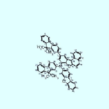 CC1(C)c2ccccc2-c2ccc(-c3cc(N(c4ccc5c(c4)C(C)(C)c4ccccc4-5)c4ccc5c(c4)oc4ccccc45)c4oc5ccc6ccccc6c5c4c3)cc21